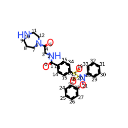 O=C(NCC(=O)N1CCCNCC1)c1ccc(S(=O)(=O)N(Oc2ccccc2)c2ccccc2)cc1